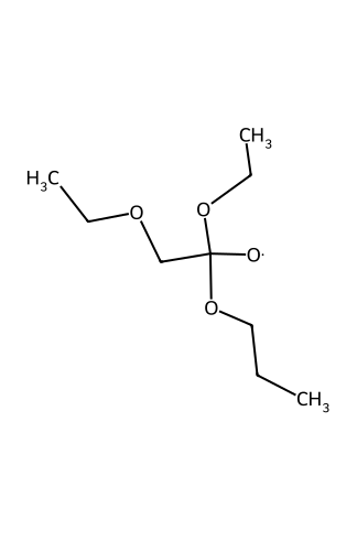 CCCOC([O])(COCC)OCC